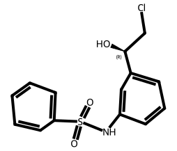 O=S(=O)(Nc1cccc([C@@H](O)CCl)c1)c1ccccc1